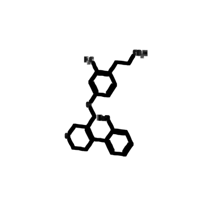 CC(C)COc1ccccc1C1=C(COc2ccc(CCC(=O)O)c(C(F)(F)F)c2)COCC1